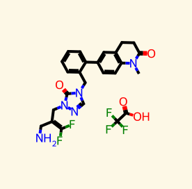 CN1C(=O)CCc2cc(-c3ccccc3Cn3cnn(CC(CN)=C(F)F)c3=O)ccc21.O=C(O)C(F)(F)F